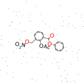 CC(=O)Oc1c(CO[N+](=O)[O-])cccc1C(=O)Oc1ccccc1